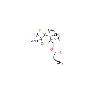 C=CC(=O)OCC1(C)COC(OC(C)=O)(C(F)(F)F)C(F)(F)C1(C)OC(C)=O